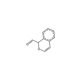 O=[C]C1OC=Cc2ccccc21